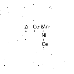 [Ce].[Co].[Mn].[Ni].[Zr]